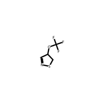 FC(F)(F)OC1[C]=NSC1